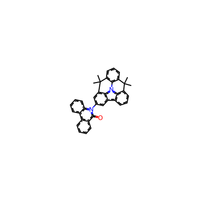 CC1(C)c2cccc3c2-n2c4c1cccc4c1cc(-n4c(=O)c5ccccc5c5ccccc54)cc(c12)C3(C)C